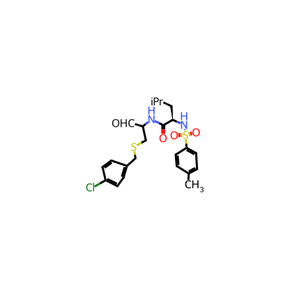 Cc1ccc(S(=O)(=O)N[C@H](CC(C)C)C(=O)NC(C=O)CSCc2ccc(Cl)cc2)cc1